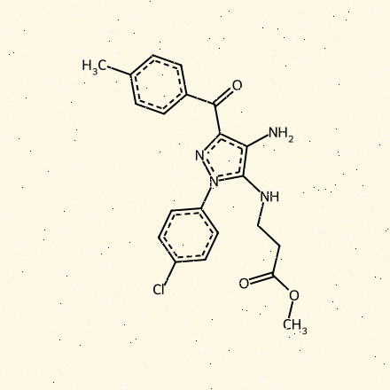 COC(=O)CCNc1c(N)c(C(=O)c2ccc(C)cc2)nn1-c1ccc(Cl)cc1